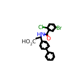 O=C(O)CC(NC(=O)c1cc(Br)ccc1Cl)c1ccc(-c2ccccc2)cc1